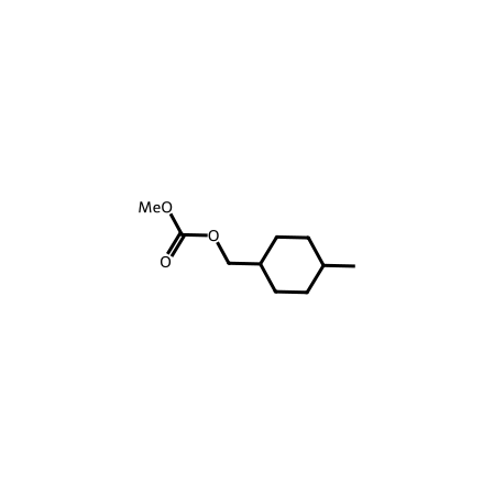 COC(=O)OCC1CCC(C)CC1